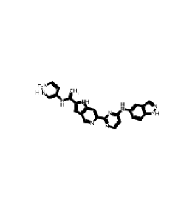 C=C(NC(/C=C\N)=C/N)c1cc2cnc(-c3nccc(Nc4ccc5[nH]ncc5c4)n3)cc2[nH]1